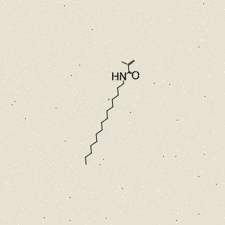 C=C(C)C(=O)NCCC[CH]CCCCCCCCCCC